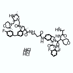 CNC(C)C(=O)NC(C(=O)N1Cc2ccc(NC(=O)CCCNC(=O)[C@]3(C)CN(C(=O)CN4C[C@@H](C)NC[C@@H]4CN4CCOC[C@H]4C)c4cc(Cc5ccc(F)cc5)ccc43)cc2[C@H]1C(=O)Nc1c(F)cccc1F)C1CCOCC1.Cl.Cl.Cl